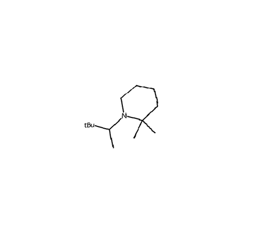 CC(N1CCCCC1(C)C)C(C)(C)C